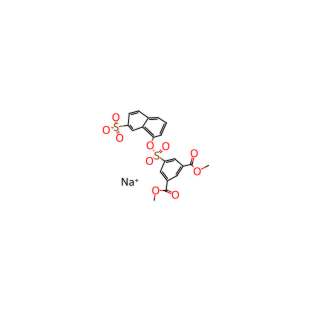 COC(=O)c1cc(C(=O)OC)cc(S(=O)(=O)Oc2cccc3ccc(S(=O)(=O)[O-])cc23)c1.[Na+]